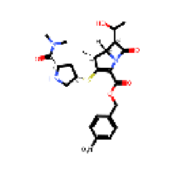 CC(O)[C@H]1C(=O)N2C(C(=O)OCc3ccc([N+](=O)[O-])cc3)=C(S[C@@H]3CN[C@H](C(=O)N(C)C)C3)[C@H](C)[C@H]12